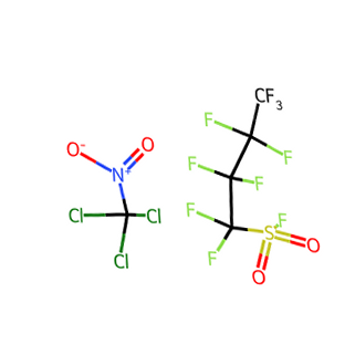 O=S(=O)(F)C(F)(F)C(F)(F)C(F)(F)C(F)(F)F.O=[N+]([O-])C(Cl)(Cl)Cl